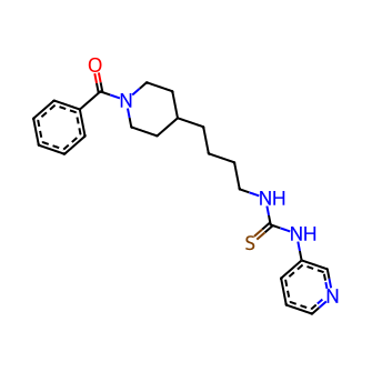 O=C(c1ccccc1)N1CCC(CCCCNC(=S)Nc2cccnc2)CC1